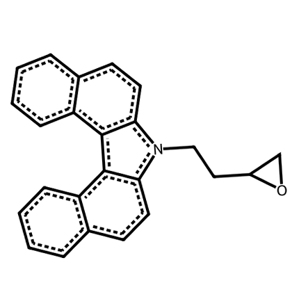 c1ccc2c(c1)ccc1c2c2c3ccccc3ccc2n1CCC1CO1